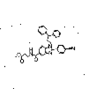 COC(=O)CCNC(=O)c1ccc2c(c1)nc(-c1ccc(C#N)cc1)n2CCC(c1ccccc1)c1ccccc1